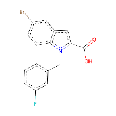 O=C(O)c1cc2cc(Br)ccc2n1Cc1cccc(F)c1